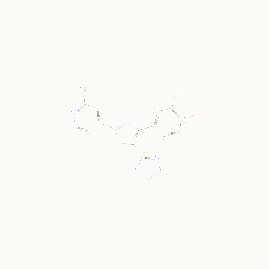 CC(=O)Nc1cc(-c2nc(-c3ccc(O)c(O)c3)c(-c3ncc[nH]3)s2)ccn1